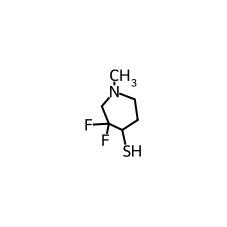 CN1CCC(S)C(F)(F)C1